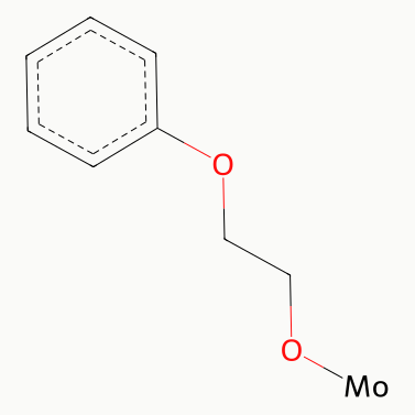 [Mo][O]CCOc1ccccc1